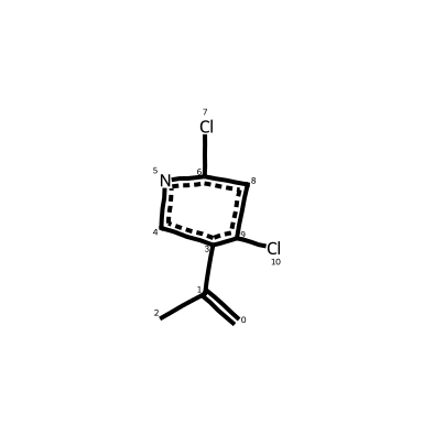 C=C(C)c1cnc(Cl)cc1Cl